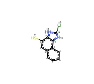 Sc1cc2ccccc2c2nc(Cl)[nH]c12